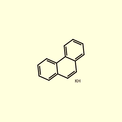 [KH].c1ccc2c(c1)ccc1ccccc12